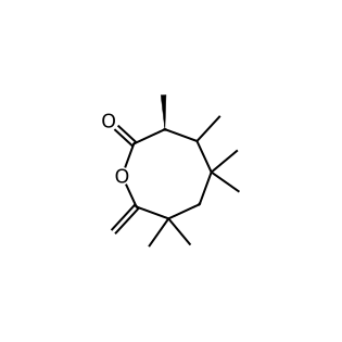 C=C1OC(=O)[C@@H](C)C(C)C(C)(C)CC1(C)C